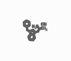 CN(C)Cc1cn(Cc2ccccc2)c2ccccc12.Cl